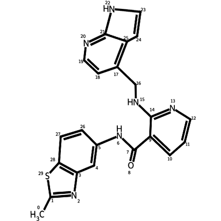 Cc1nc2cc(NC(=O)c3cccnc3NCc3ccnc4[nH]ccc34)ccc2s1